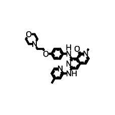 Cc1ccnc(Nc2cc3ccn(C)c(=O)c3c(Nc3ccc(OCCN4CCOCC4)cc3)n2)c1